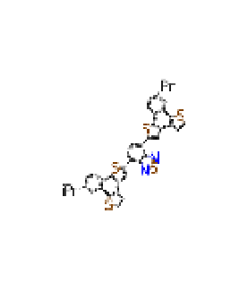 CC(C)c1ccc2c(c1)c1sccc1c1cc(-c3ccc(-c4cc5c6ccsc6c6cc(C(C)C)ccc6c5s4)c4nsnc34)sc21